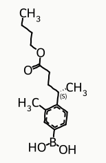 CCCCOC(=O)CC[C@H](C)c1ccc(B(O)O)cc1C